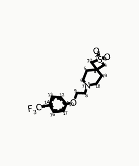 O=S1(=O)CC2(CCN(CCOc3ccc(C(F)(F)F)cc3)CC2)C1